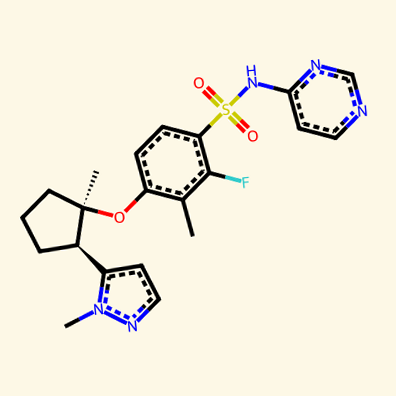 Cc1c(O[C@]2(C)CCC[C@@H]2c2ccnn2C)ccc(S(=O)(=O)Nc2ccncn2)c1F